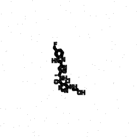 C[C@@H](NC(=O)c1ncnc(NCCO)c1Cl)c1cc(-c2nc3ccc(CF)cc3[nH]2)no1